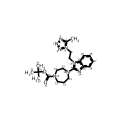 Cc1nnnn1CCn1c(N2CCCN(C(=O)OC(C)(C)C)CC2)nc2ccccc21